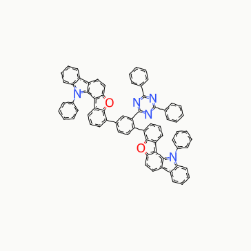 c1ccc(-c2nc(-c3ccccc3)nc(-c3cc(-c4cccc5c4oc4ccc6c7ccccc7n(-c7ccccc7)c6c45)ccc3-c3cccc4c3oc3ccc5c6ccccc6n(-c6ccccc6)c5c34)n2)cc1